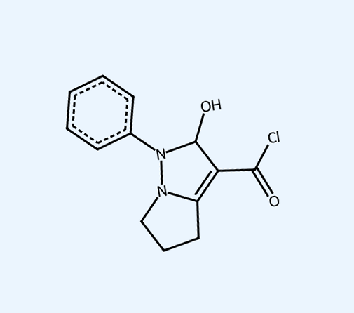 O=C(Cl)C1=C2CCCN2N(c2ccccc2)C1O